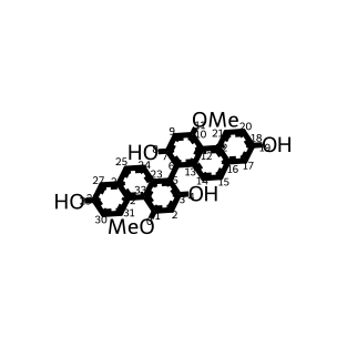 COc1cc(O)c(-c2c(O)cc(OC)c3c2ccc2cc(O)ccc23)c2ccc3cc(O)ccc3c12